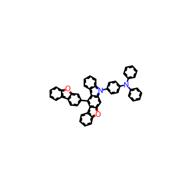 c1ccc(N(c2ccccc2)c2ccc(-n3c4ccccc4c4c(-c5ccc6c(c5)oc5ccccc56)c5c(cc43)oc3ccccc35)cc2)cc1